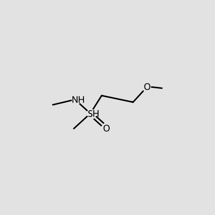 CN[SH](C)(=O)CCOC